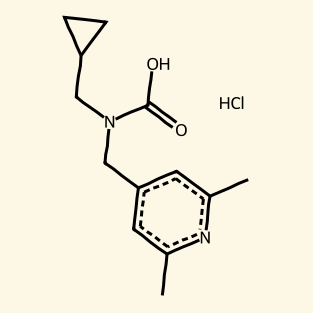 Cc1cc(CN(CC2CC2)C(=O)O)cc(C)n1.Cl